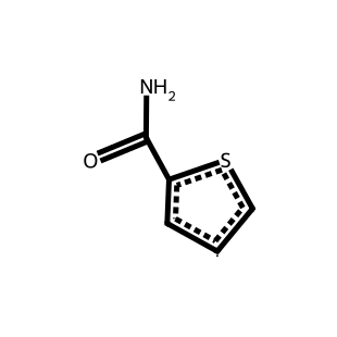 NC(=O)c1c[c]cs1